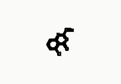 CC(C)COc1nc2cccc(Cl)c2c(=O)o1